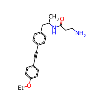 CCOc1ccc(C#Cc2ccc(CC(C)NC(=O)CCN)cc2)cc1